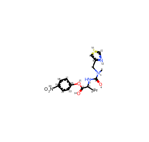 CC(C)C(NC(=O)N(C)Cc1cscn1)C(=O)Oc1ccc([N+](=O)[O-])cc1